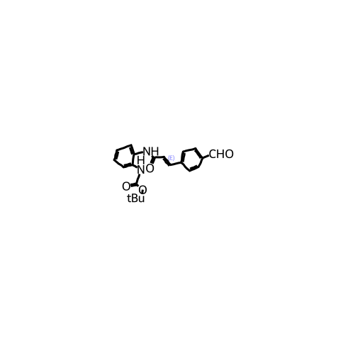 CC(C)(C)OC(=O)Nc1ccccc1NC(=O)/C=C/c1ccc(C=O)cc1